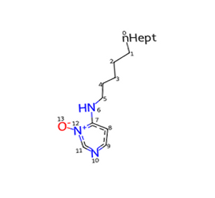 CCCCCCCCCCCCNc1ccnc[n+]1[O-]